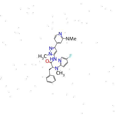 CNc1cc(-c2cc(NC(=O)[C@H](Cc3ccccc3)N(C)c3ccc(F)cn3)n(C)n2)ccn1